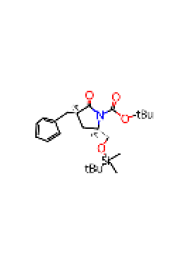 CC(C)(C)OC(=O)N1C(=O)[C@H](Cc2ccccc2)C[C@H]1CO[Si](C)(C)C(C)(C)C